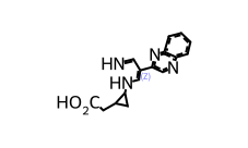 N=C/C(=C\NC1CC1CC(=O)O)c1cnc2ccccc2n1